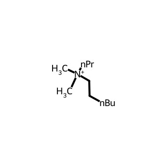 CCCCCC[N+](C)(C)CCC